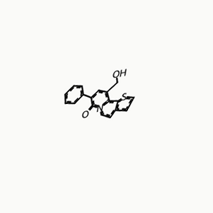 O=c1c(-c2ccccc2)cc(CO)c2c3sccc3ccn12